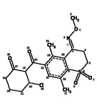 CO/N=C1\CCS(=O)(=O)c2c(C)cc(C(=O)C3C(=O)CCCC3Cl)c(C)c21